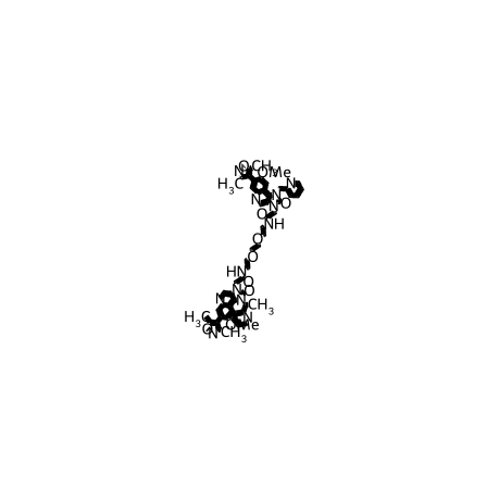 COc1cc2c(cc1-c1c(C)noc1C)ncc1c2n(Cc2ccccn2)c(=O)n1CC(=O)NCCOCCOCCNC(=O)Cn1c(=O)n(C(C)c2ccccn2)c2c3cc(OC)c(-c4c(C)noc4C)cc3ncc21